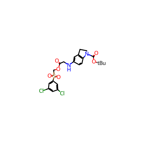 CC(C)(C)OC(=O)N1CCc2cc(NCC(=O)OCS(=O)(=O)c3cc(Cl)cc(Cl)c3)ccc21